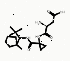 CC12CCC(C1)C(C)(C)C2NC(=O)C1(NC(=O)[C@@H](N)CC(=O)O)CC1